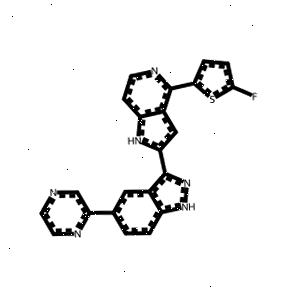 Fc1ccc(-c2nccc3[nH]c(-c4n[nH]c5ccc(-c6cnccn6)cc45)cc23)s1